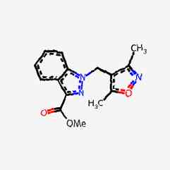 COC(=O)c1nn(Cc2c(C)noc2C)c2ccccc12